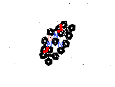 c1ccc(-c2cccc3c2N(c2ccc([Si](c4ccccc4)(c4ccccc4)c4ccccc4)cc2)c2cc(-n4c5ccccc5c5ccccc54)cc4c2B3c2cccc(-c3ccccc3)c2N4c2ccc([Si](c3ccccc3)(c3ccccc3)c3ccccc3)cc2)cc1